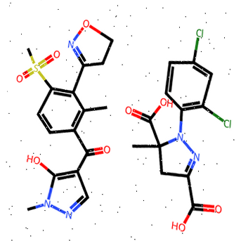 CC1(C(=O)O)CC(C(=O)O)=NN1c1ccc(Cl)cc1Cl.Cc1c(C(=O)c2cnn(C)c2O)ccc(S(C)(=O)=O)c1C1=NOCC1